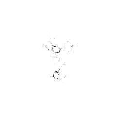 Cc1cc(C)c(CNC(=O)c2cc(C3CCN(C)CC3)nc(NC(C)C)c2C=N)c(=O)[nH]1